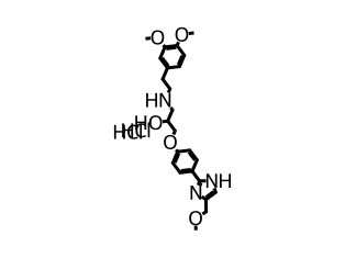 COCc1c[nH]c(-c2ccc(OCC(O)CNCCc3ccc(OC)c(OC)c3)cc2)n1.Cl.Cl